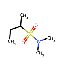 CCC(C)S(=O)(=O)N(C)C